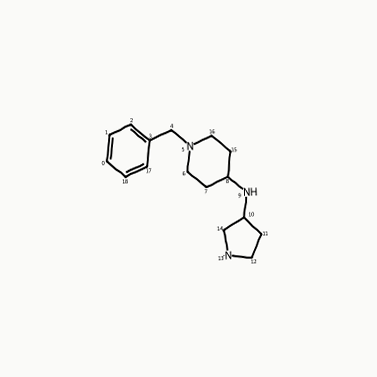 c1ccc(CN2CCC(NC3CC[N]C3)CC2)cc1